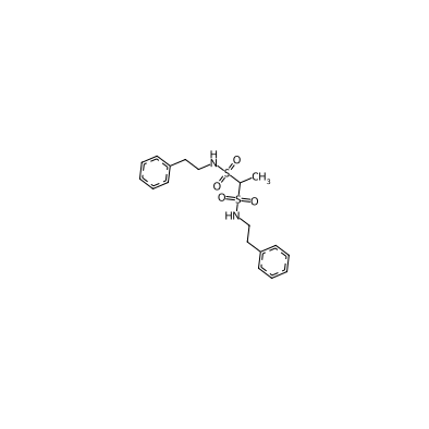 CC(S(=O)(=O)NCCc1ccccc1)S(=O)(=O)NCCc1ccccc1